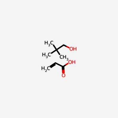 C=CC(=O)O.CC(C)(C)CO